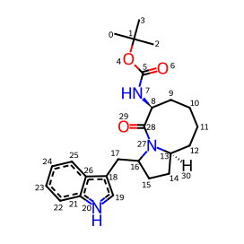 CC(C)(C)OC(=O)N[C@H]1CCCC[C@H]2CCC(Cc3c[nH]c4ccccc34)N2C1=O